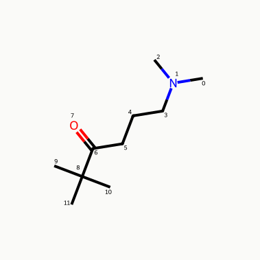 CN(C)CCCC(=O)C(C)(C)C